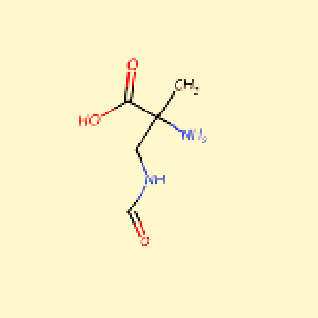 CC(N)(CNC=O)C(=O)O